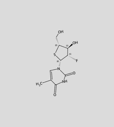 Cc1cn([C@@H]2S[C@H](CO)[C@@H](O)[C@@H]2F)c(=O)[nH]c1=O